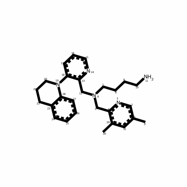 Cc1cnc(CN(CCCCN)Cc2ncccc2N2CCCc3ccccc32)c(C)c1